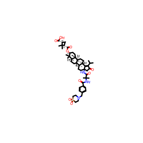 CC(C)C1=C2[C@H]3CC[C@@H]4[C@@]5(C)CC[C@H](OC(=O)[C@H]6C[C@@H](C(=O)O)C6(C)C)C(C)(C)[C@@H]5CC[C@@]4(C)[C@]3(C)CC[C@@]2(NC(=O)C(C)(C)NC(=O)c2ccc(CN3CCS(=O)(=O)CC3)cc2)CC1=O